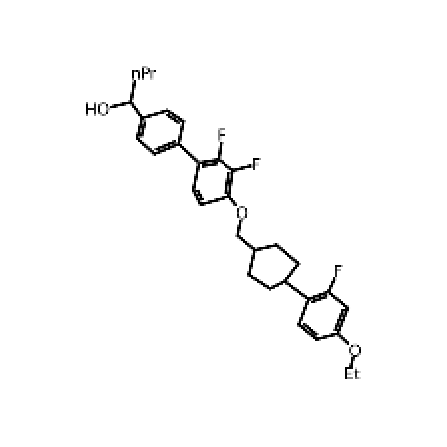 CCCC(O)c1ccc(-c2ccc(OCC3CCC(c4ccc(OCC)cc4F)CC3)c(F)c2F)cc1